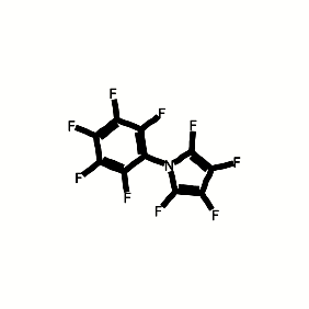 Fc1c(F)c(F)c(-n2c(F)c(F)c(F)c2F)c(F)c1F